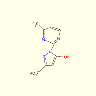 O=C(O)c1cc(O)n(-c2nccc(C(F)(F)F)n2)n1